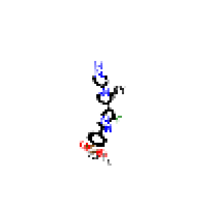 CC(C)[C@H]1CC(c2cc(F)c3nc(-c4ccc(S(C)(=O)=O)cc4)cn3c2)CCN1C1CCNCC1